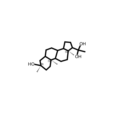 CC(O)(O)C1CCC2C3CCC4C[C@](C)(O)CC[C@]4(C)C3CC[C@@]21C